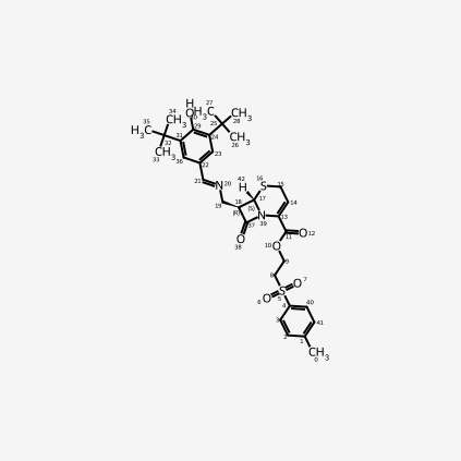 Cc1ccc(S(=O)(=O)CCOC(=O)C2=CCS[C@H]3[C@H](CN=Cc4cc(C(C)(C)C)c(O)c(C(C)(C)C)c4)C(=O)N23)cc1